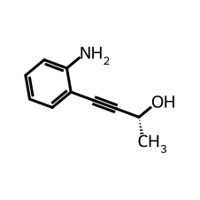 C[C@@H](O)C#Cc1ccccc1N